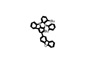 CC(C)(C)c1ccccc1N1c2cc(-c3ccc4oc5ccccc5c4c3)cc3c2B(c2ccccc2-3)c2cccc(C(C)(C)C)c21